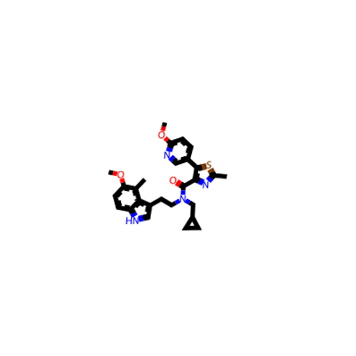 COc1ccc(-c2sc(C)nc2C(=O)N(CCc2c[nH]c3ccc(OC)c(C)c23)CC2CC2)cn1